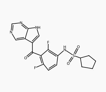 O=C(c1c(F)ccc(NS(=O)(=O)C2CCCC2)c1F)c1c[nH]c2ncncc12